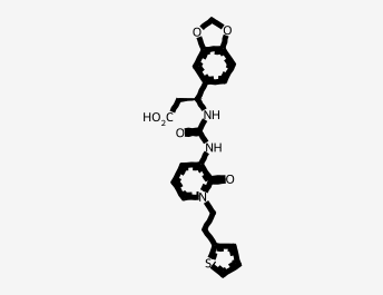 O=C(O)C[C@H](NC(=O)Nc1cccn(CCc2cccs2)c1=O)c1ccc2c(c1)OCO2